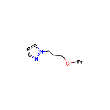 CC(C)OCCCn1cccn1